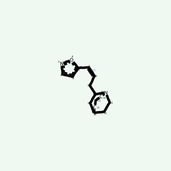 C(=C/c1ccno1)/CC1CC2CCCN1CC2